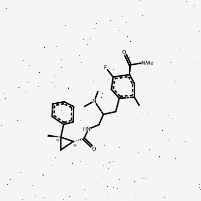 CNC(=O)c1cc(C)c(CC(CNC(=O)[C@@H]2C[C@]2(C)c2ccccc2)N(C)C)cc1F